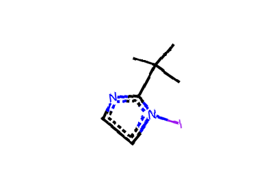 CC(C)(C)c1nccn1I